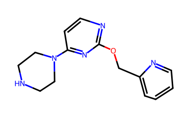 c1ccc(COc2nccc(N3CCNCC3)n2)nc1